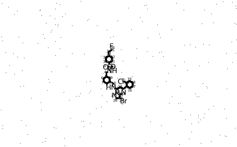 O=S(=O)(NCc1cccc(CNc2cc(-c3ccccc3Cl)nc3c(Br)cnn23)c1)c1ccc(CCF)cc1